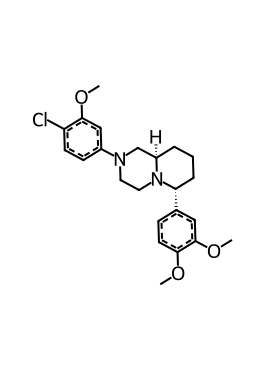 COc1cc(N2CCN3[C@H](CCC[C@@H]3c3ccc(OC)c(OC)c3)C2)ccc1Cl